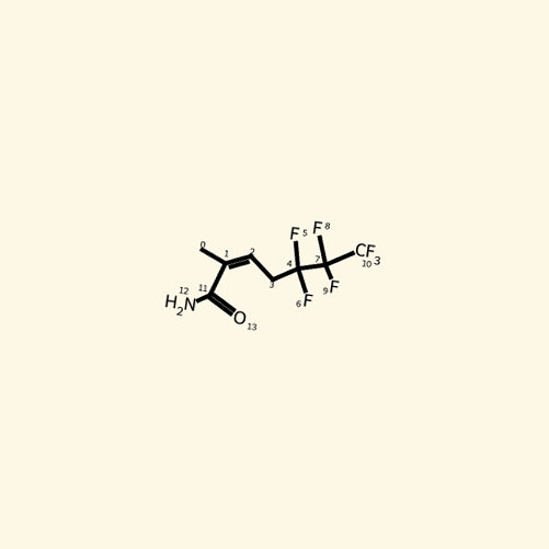 CC(=CCC(F)(F)C(F)(F)C(F)(F)F)C(N)=O